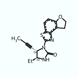 CC#C[C@H]1[C@H](CC)NC(=O)N1c1nc2c3c(ccc2s1)OCC3